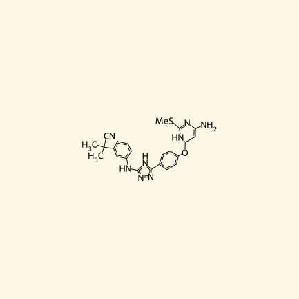 CSC1=NC(N)=CC(Oc2ccc(-c3nnc(Nc4cccc(C(C)(C)C#N)c4)[nH]3)cc2)N1